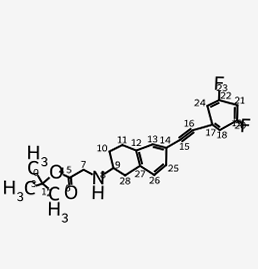 CC(C)(C)OC(=O)CNC1CCc2cc(C#Cc3cc(F)cc(F)c3)ccc2C1